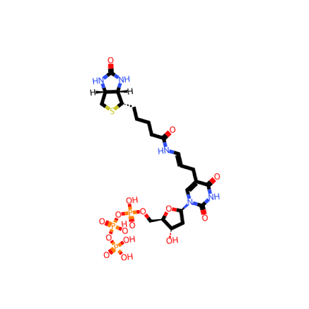 O=C(CCCC[C@@H]1SC[C@@H]2NC(=O)N[C@@H]21)NC=CCc1cn([C@H]2C[C@H](O)[C@@H](COP(=O)(O)OP(=O)(O)OP(=O)(O)O)O2)c(=O)[nH]c1=O